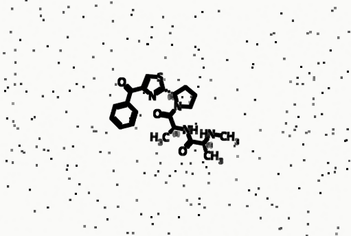 CN[C@@H](C)C(=O)N[C@@H](C)C(=O)N1CCC[C@H]1c1nc(C(=O)c2ccccc2)cs1